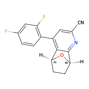 N#Cc1cc(-c2ccc(F)cc2F)c2c(n1)[C@H]1CC[C@@H]2O1